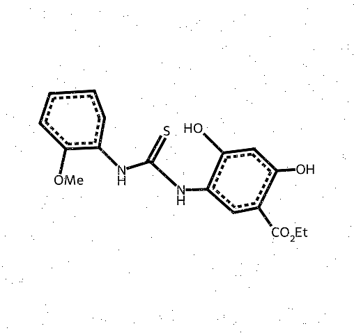 CCOC(=O)c1cc(NC(=S)Nc2ccccc2OC)c(O)cc1O